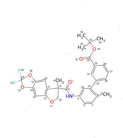 Cc1ccc(NC(=O)C2(C)COc3cc4c(cc32)OC(F)(F)O4)cc1-c1cccc(C(=O)OC(C)(C)C)c1